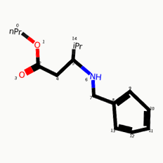 CCCOC(=O)CC(NCc1ccccc1)C(C)C